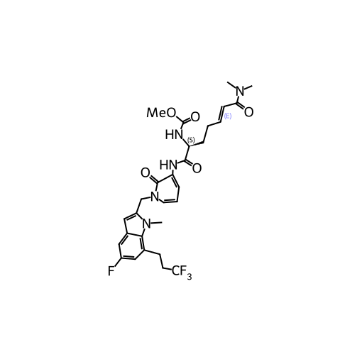 COC(=O)N[C@@H](CC/C=C/C(=O)N(C)C)C(=O)Nc1cccn(Cc2cc3cc(F)cc(CCC(F)(F)F)c3n2C)c1=O